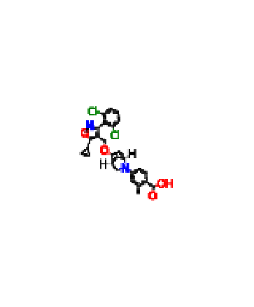 Cc1cc(N2C[C@@H]3C[C@H]2C[C@H]3OCc2c(-c3c(Cl)cccc3Cl)noc2C2CC2)ccc1C(=O)O